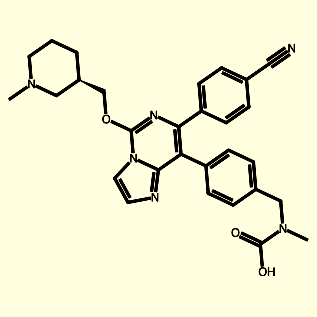 CN1CCC[C@@H](COc2nc(-c3ccc(C#N)cc3)c(-c3ccc(CN(C)C(=O)O)cc3)c3nccn23)C1